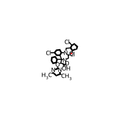 Cc1cc(C)nc(OC(C(=O)O)C2(c3ccccc3)NCC(=O)N(Cc3c(Cl)cccc3Cl)c3ccc(Cl)cc32)n1